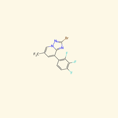 Fc1ccc(-c2cc(C(F)(F)F)cn3nc(Br)nc23)c(F)c1F